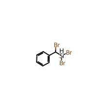 BrC(c1ccccc1)[SiH](Br)Br